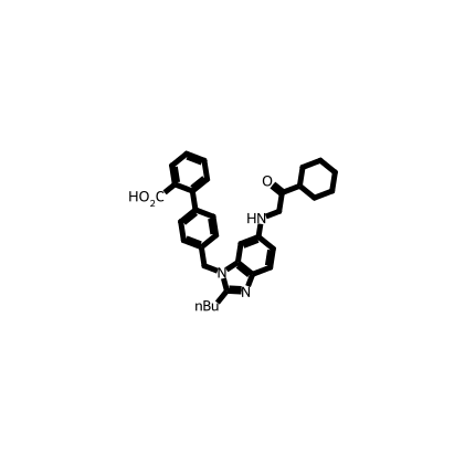 CCCCc1nc2ccc(NCC(=O)C3CCCCC3)cc2n1Cc1ccc(-c2ccccc2C(=O)O)cc1